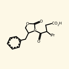 CC(C)C(CC(=O)O)C(=O)N1C(=O)OCC1Cc1ccccc1